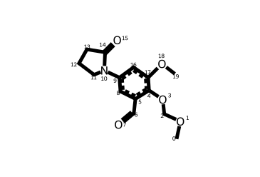 COCOc1c(C=O)cc(N2CCCC2=O)cc1OC